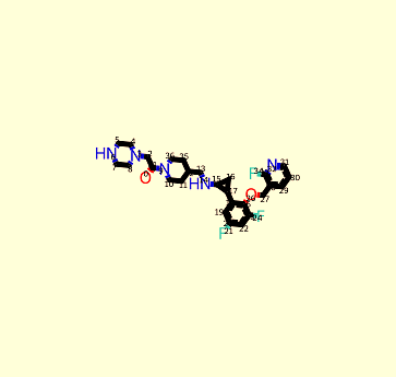 O=C(CN1CCNCC1)N1CCC(CNC2CC2c2cc(F)cc(F)c2OCc2cccnc2F)CC1